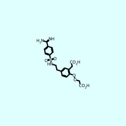 N=C(N)c1ccc(S(=O)(=O)NCCc2ccc(OOCC(=O)O)c(CC(=O)O)c2)cc1